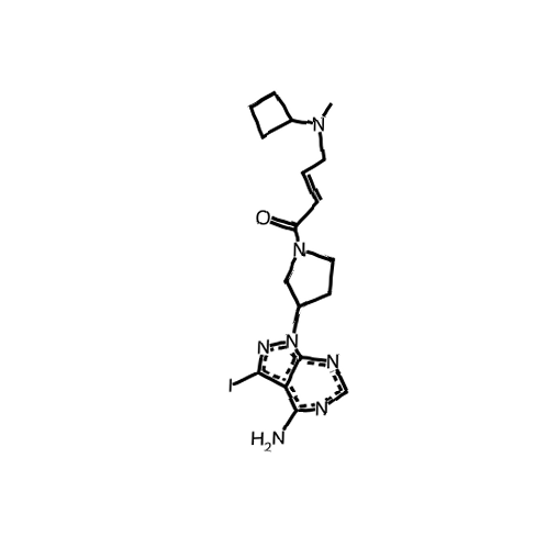 CN(C/C=C/C(=O)N1CCC(n2nc(I)c3c(N)ncnc32)C1)C1CCC1